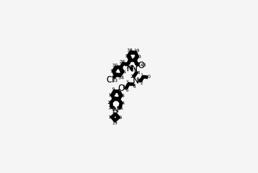 CCCN(CCCOc1ccc2c(c1)CCN(C1CCC1)CC2)CCn1nc(Cc2ccc(Cl)cc2)c2ccccc2c1=O